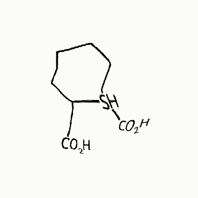 O=C(O)C1CCCC[SH]1C(=O)O